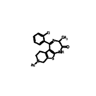 CC(=O)N1CCc2c(sc3c2C(c2ccccc2Cl)=NC(C)C(=O)N3)C1